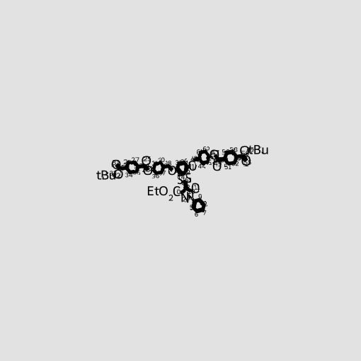 CCOC(=O)C1=NN(c2ccccc2)C(=O)C1=C1Sc2c(OCC3CCC(OC(=O)C4CCC(C(=O)OC(C)(C)C)CC4)CC3)ccc(OCC3CCC(OC(=O)C4CCC(C(=O)OC(C)(C)C)CC4)CC3)c2S1